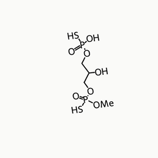 COP(=O)(S)OCC(O)COP(=O)(O)S